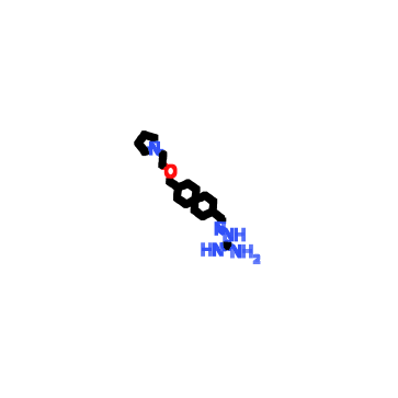 N=C(N)N/N=C/C1CCC2(CC1)CCC(COCCN1CCCC1)CC2